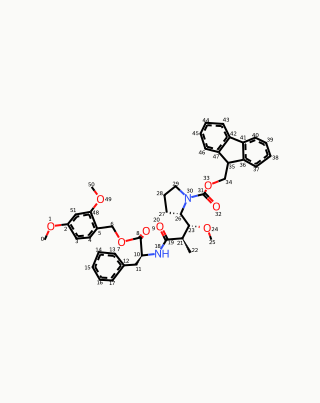 COc1ccc(COC(=O)[C@H](Cc2ccccc2)NC(=O)[C@H](C)[C@@H](OC)[C@@H]2CCCN2C(=O)OCC2c3ccccc3-c3ccccc32)c(OC)c1